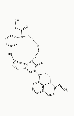 C=CC(=O)N1CCN(c2cc3cnc4nc3n(c2=O)CCOCCN(C(=O)OC(C)(C)C)c2cccc(c2)N4)c2cccc(C)c21